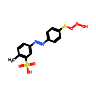 Cc1ccc(N=Nc2ccc(SOOO)cc2)cc1S(=O)(=O)O